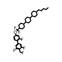 CCCCCC1CCC(C2CCC(C3CCC(C(F)(F)Oc4ccc(-c5cc(F)c(CF)c(F)c5)c(F)c4)CC3)CC2)CC1